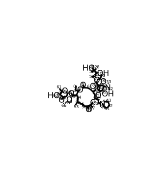 CCC1OC(=O)CC(O)C(C)C(OC2OC(C)C(OC(C)OC(C)C(O)C(C)(C)O)C(N(C)C)C2O)C(CCN2CCCCC2)CC(C)C(=O)/C=C/C(C)=C/C1COC1OC(C)C(O)C(OC)C1OC